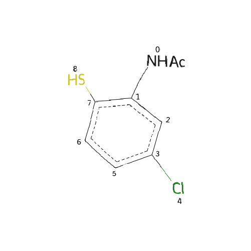 CC(=O)Nc1cc(Cl)ccc1S